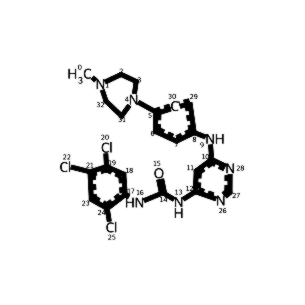 CN1CCN(c2ccc(Nc3cc(NC(=O)Nc4cc(Cl)c(Cl)cc4Cl)ncn3)cc2)CC1